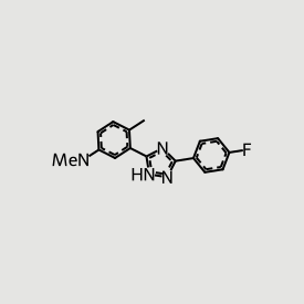 CNc1ccc(C)c(-c2nc(-c3ccc(F)cc3)n[nH]2)c1